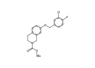 CC(C)(C)OC(=O)N1CCc2ccc(OCc3ccc(F)c(Cl)c3)cc2C1